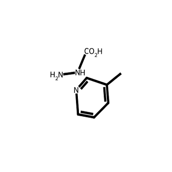 Cc1cccnc1.NNC(=O)O